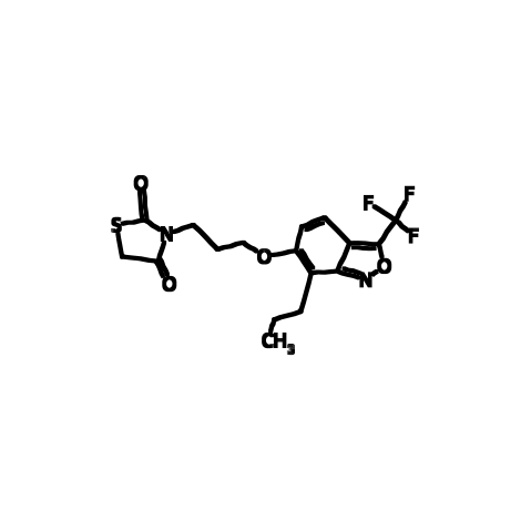 CCCc1c(OCCCN2C(=O)CSC2=O)ccc2c(C(F)(F)F)onc12